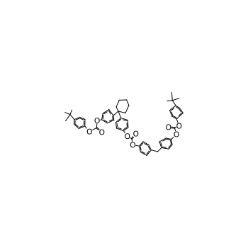 CC(C)(C)c1ccc(OC(=O)Oc2ccc(Cc3ccc(OC(=O)Oc4ccc(C5(c6ccc(OC(=O)Oc7ccc(C(C)(C)C)cc7)cc6)CCCCC5)cc4)cc3)cc2)cc1